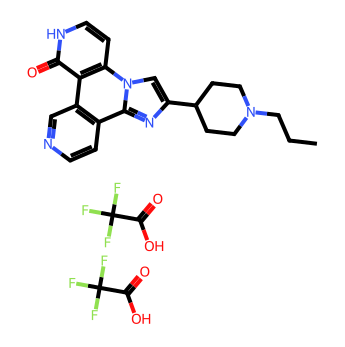 CCCN1CCC(c2cn3c4cc[nH]c(=O)c4c4cnccc4c3n2)CC1.O=C(O)C(F)(F)F.O=C(O)C(F)(F)F